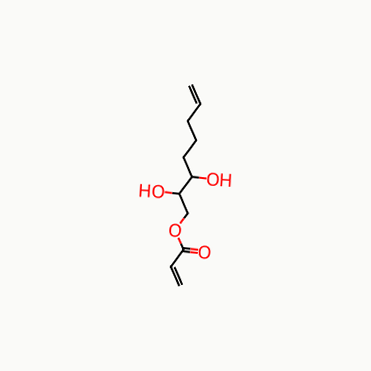 C=CCCCC(O)C(O)COC(=O)C=C